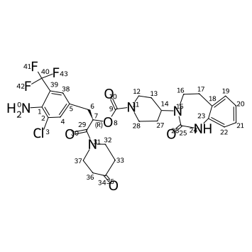 Nc1c(Cl)cc(C[C@@H](OC(=O)N2CCC(N3CCc4ccccc4NC3=O)CC2)C(=O)N2CCC(=O)CC2)cc1C(F)(F)F